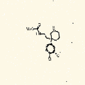 COC(=O)NCCC1(c2ccc(Cl)c(Cl)c2)CCCNC1